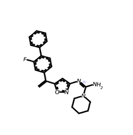 C=C(c1ccc(-c2ccccc2)c(F)c1)c1cc(/N=C(/N)N2CCCCC2)no1